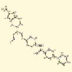 CCCN(CCC1CCC(NC(=O)c2ccc(-c3ccncn3)cc2)CC1)[C@H]1CCc2nc(N)sc2C1